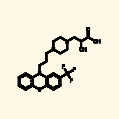 O=C(O)C(O)CN1CCN(CCCN2c3ccccc3Sc3ccc(C(F)(F)F)cc32)CC1